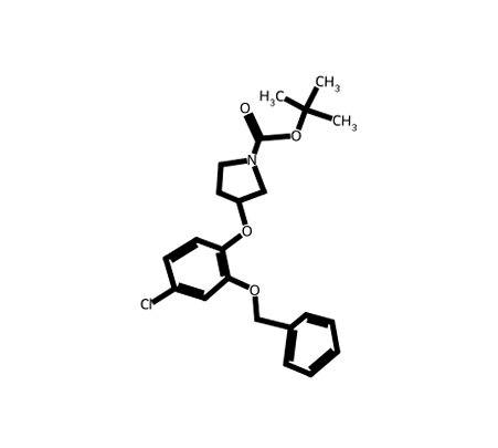 CC(C)(C)OC(=O)N1CCC(Oc2ccc(Cl)cc2OCc2ccccc2)C1